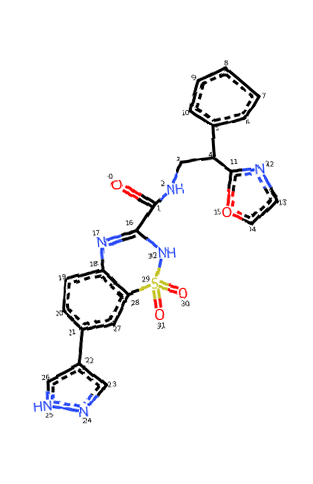 O=C(NCC(c1ccccc1)c1ncco1)C1=Nc2ccc(-c3cn[nH]c3)cc2S(=O)(=O)N1